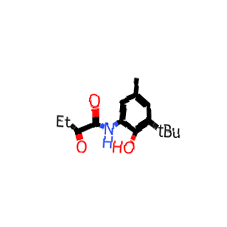 CCC(=O)C(=O)Nc1cc(C)cc(C(C)(C)C)c1O